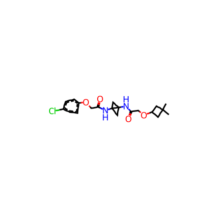 CC1(C)CC(OCC(=O)NC23CC2(NC(=O)COc2ccc(Cl)cc2)C3)C1